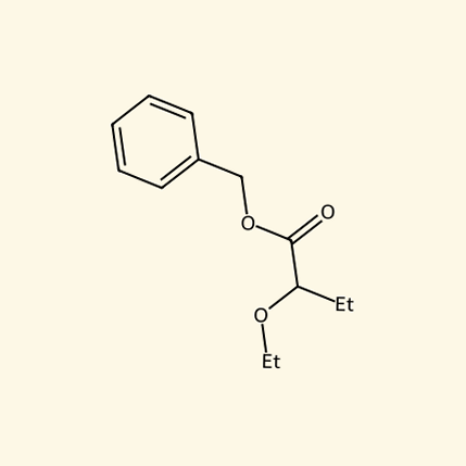 CCOC(CC)C(=O)OCc1ccccc1